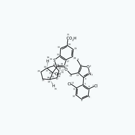 Cc1onc(-c2c(Cl)cccc2Cl)c1CO[C@@H]1C[C@H]2CC[C@@H](C1)[C@@]2(O)c1nc2ccc(C(=O)O)cc2s1